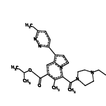 C=C(c1c(C)c(C(=O)OC(C)C)cc2c(-c3ccc(C)nn3)ccn12)N1CCN(CC)CC1